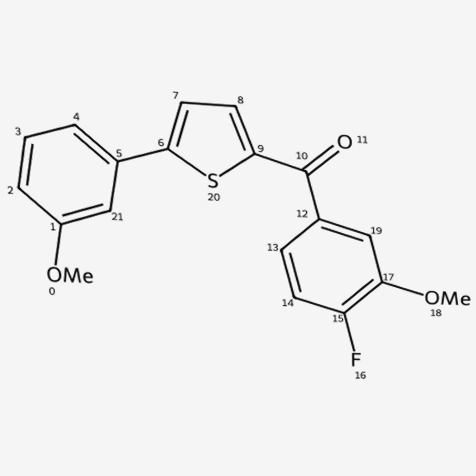 COc1cccc(-c2ccc(C(=O)c3ccc(F)c(OC)c3)s2)c1